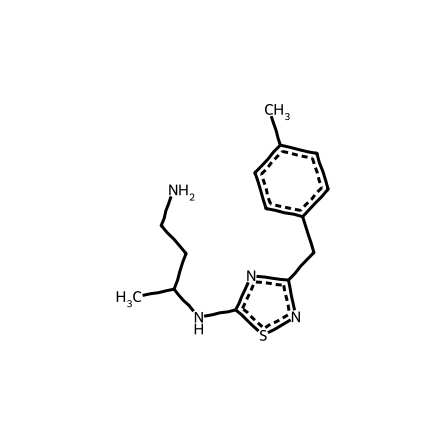 Cc1ccc(Cc2nsc(NC(C)CCN)n2)cc1